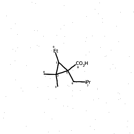 CCC1C(C)(C)C1(CC(C)C)C(=O)O